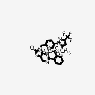 Cc1cc(C(F)(F)F)nn1-c1ccc(Cn2c(=O)sc3cnc(-c4ccccc4C(C)C)nc32)nc1